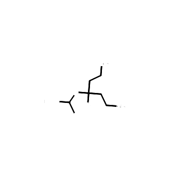 CCCCCCCCCCCCC(CCCCCCCCCCCC)(SC(C)C(=O)O)C(=O)O